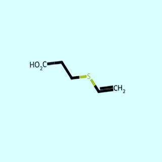 C=CSCCC(=O)O